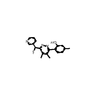 Cc1ccc(-c2nnc(C(F)c3cccnc3)c(C)c2C)c(O)c1